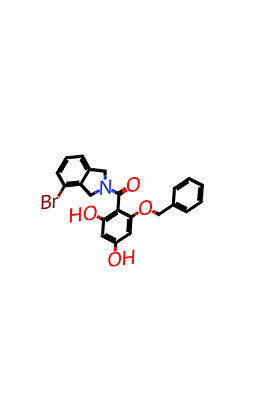 O=C(c1c(O)cc(O)cc1OCc1ccccc1)N1Cc2cccc(Br)c2C1